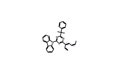 C=C/C(=C\C=C/C)c1nc(-n2c3ccccc3c3ccccc32)nc(C(C)(C)c2ccccc2)n1